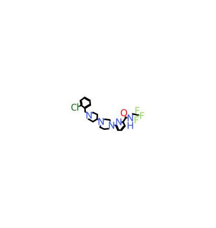 O=C(NCC(F)(F)F)c1cccc(N2CCCN(C3CCN(Cc4ccccc4Cl)CC3)CC2)n1